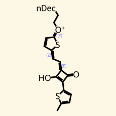 CCCCCCCCCCCC/[O+]=C1C=C/C(=C/C=C2/C(=O)C(c3ccc(C)s3)=C2O)S\1